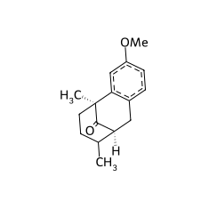 COc1ccc2c(c1)[C@]1(C)CCC(C)[C@H](C2)C1=O